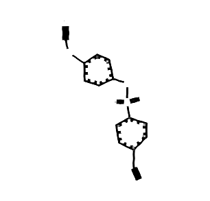 C#Cc1ccc(S(=O)(=O)Oc2ccc(OC#N)cc2)cc1